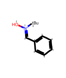 CC(C)(C)/[N+](O)=C\c1ccccc1